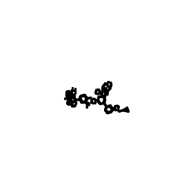 CS(=O)(=O)NC(=O)c1ccc(COC2=CC(c3cccc(OCC4CC4)c3)=CC(F)(C(=O)N3CCOCC3)C2)c(F)c1